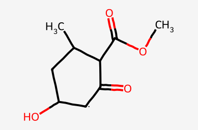 COC(=O)C1C(=O)[CH]C(O)CC1C